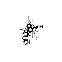 Cc1nc(Oc2cncnc2)ccc1C1(N)C(=O)C(N)c2c(C(=O)O)sc3c(N)ccc1c23